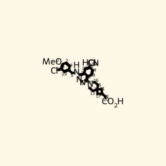 COc1ccc(CNc2nnc(N3CCC4(CC3)CC(CC(=O)O)C4)c3ccc(C#N)cc23)cc1Cl.Cl